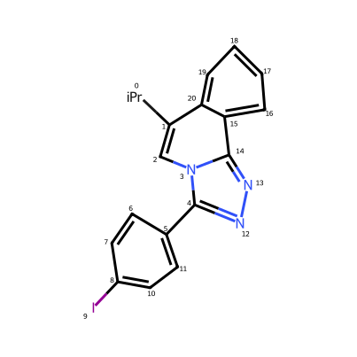 CC(C)c1cn2c(-c3ccc(I)cc3)nnc2c2ccccc12